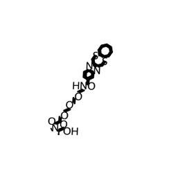 C[C@H](C(=O)O)N(C)C(=O)CCOCCOCCOCCNC(=O)c1ccc2nc3c(nc2c1)CSC1CCCCCCC1SC3